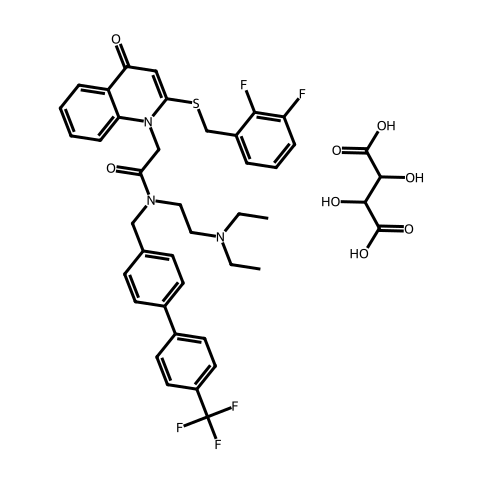 CCN(CC)CCN(Cc1ccc(-c2ccc(C(F)(F)F)cc2)cc1)C(=O)Cn1c(SCc2cccc(F)c2F)cc(=O)c2ccccc21.O=C(O)C(O)C(O)C(=O)O